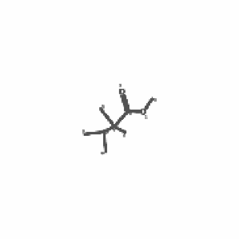 COC(=O)C(C)(C)C(C)C